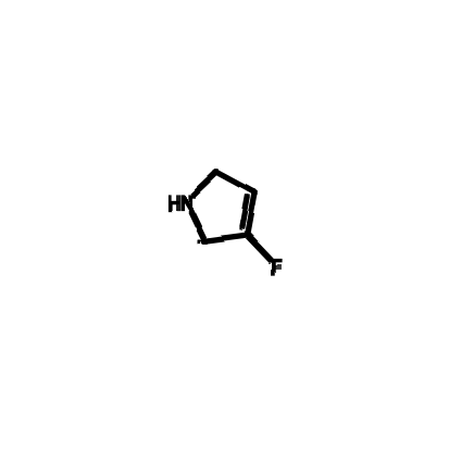 FC1=CCN[CH]1